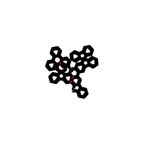 c1ccc2c(c1)-c1cccc(N(c3ccc4c5ccccc5c5ccccc5c4c3)c3cc4c(cc3-c3ccc5sc6ccccc6c5c3)-c3ccccc3C43c4ccccc4-c4ccccc43)c1C21CCCCC1